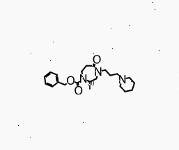 C[C@@H]1CN(CCCN2CCCCC2)C(=O)CCN1C(=O)OCc1ccccc1